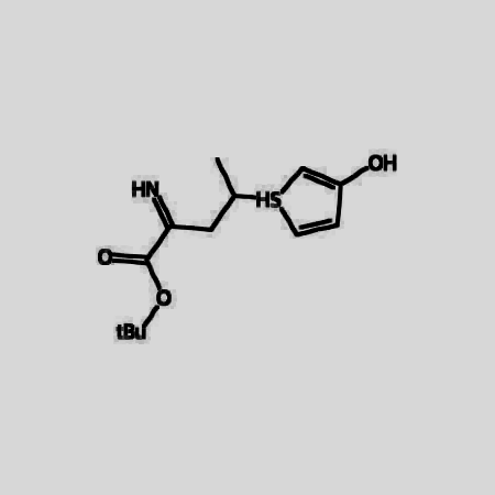 CC(CC(=N)C(=O)OC(C)(C)C)[SH]1C=CC(O)=C1